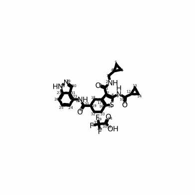 O=C(NCC1CC1)c1c(NC(=O)C2CC2)sc2c1CC(C(=O)Nc1cccc3[nH]ncc13)CC2.O=C(O)C(F)(F)F